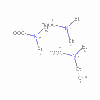 CCN(CC)C(=O)[O-].CCN(CC)C(=O)[O-].CCN(CC)C(=O)[O-].[Cr+3]